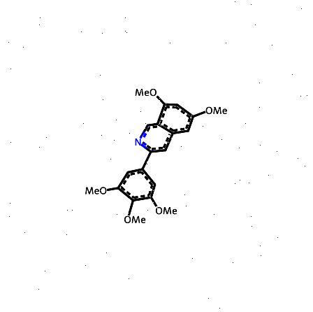 COc1cc(OC)c2cnc(-c3cc(OC)c(OC)c(OC)c3)cc2c1